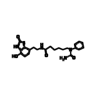 NC(=O)N(CCCCCC(=O)NCCc1ccc(O)c2[nH]c(=O)sc12)c1ccccc1